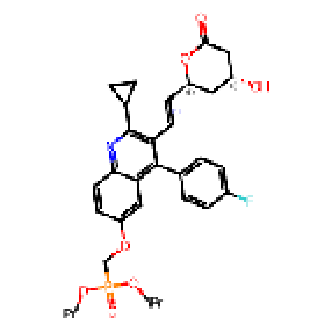 CC(C)OP(=O)(COc1ccc2nc(C3CC3)c(/C=C/[C@@H]3C[C@@H](O)CC(=O)O3)c(-c3ccc(F)cc3)c2c1)OC(C)C